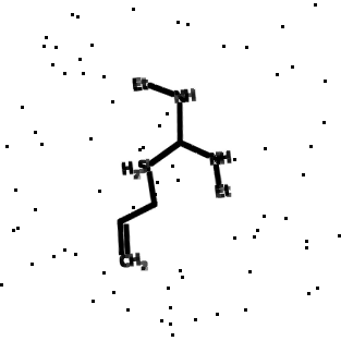 C=CC[SiH2]C(NCC)NCC